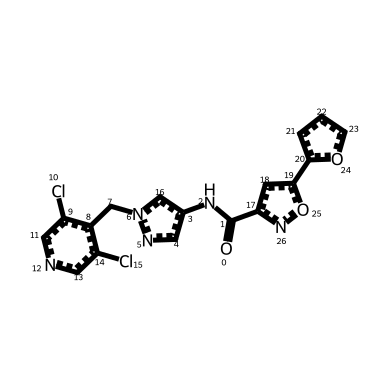 O=C(Nc1cnn(Cc2c(Cl)cncc2Cl)c1)c1cc(-c2ccco2)on1